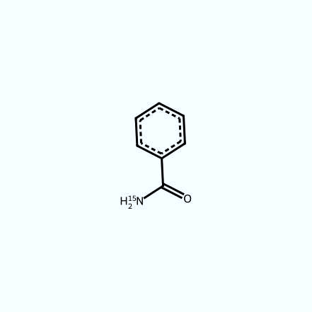 [15NH2]C(=O)c1ccccc1